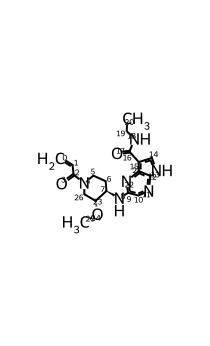 C=CC(=O)N1CC[C@@H](Nc2cnc3[nH]cc(C(=O)NCC)c3n2)[C@H](OC)C1